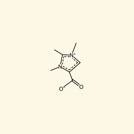 Cc1n(C)c(C(=O)[O-])c[n+]1C